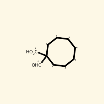 O=CC1(C(=O)O)CCCCCCC1